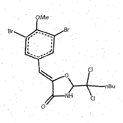 CCCCC(Cl)(Cl)C1NC(=O)/C(=C/c2cc(Br)c(OC)c(Br)c2)O1